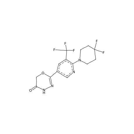 O=C1COC(c2cnc(N3CCC(F)(F)CC3)c(C(F)(F)F)c2)=NN1